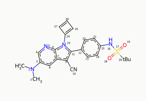 CN(C)c1cnc2c(c1)c(C#N)c(-c1ccc(NS(=O)(=O)C(C)(C)C)cc1)n2C1=CC=C1